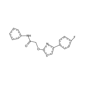 O=C(COc1nc(-c2ccc(F)cc2)cs1)Nc1ccccc1